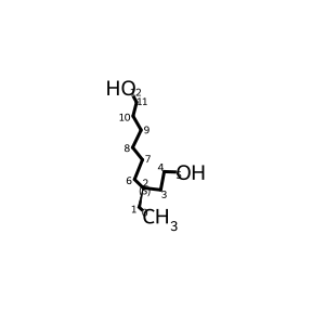 CC[C@H](CCO)CCCCCCO